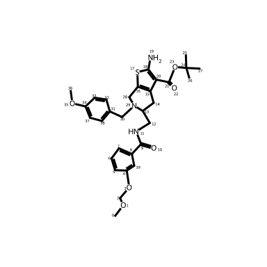 COCOc1cccc(C(=O)NCC2Cc3c(sc(N)c3C(=O)OC(C)(C)C)CN2Cc2ccc(OC)cc2)c1